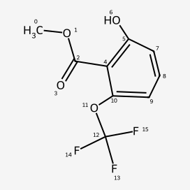 COC(=O)c1c(O)cccc1OC(F)(F)F